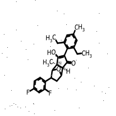 CCc1cc(C)cc(CC)c1C1=C(O)[C@]2(C)C3OC(CC3c3ccc(F)cc3F)[C@@H]2C1=O